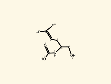 O=C(O)NC(CO)CC=C(F)F